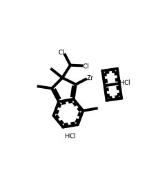 CC1=c2cccc(C)c2=[C]([Zr])C1(C)C(Cl)Cl.Cl.Cl.c1cc2ccc1-2